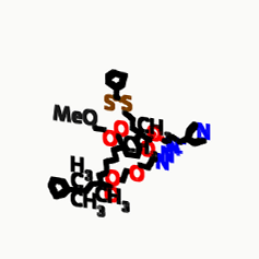 COCCOC(=O)C(C)(CCCCCC(C)(CCC(C)(C)c1ccccc1)C(=O)OCCOCCCN=[N+]=[N-])CCCCC(C)(CCCSC(=S)c1ccccc1)C(=O)OCCCc1ccncc1